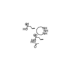 C1CCCNNNCC1.C=CC[PH](=O)O.C=CC[PH](=O)O.CC(=O)O